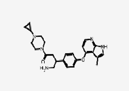 Cc1c[nH]c2nccc(Oc3ccc(C(CN)CC(=O)N4CCN(C5CC5)CC4)cc3)c12